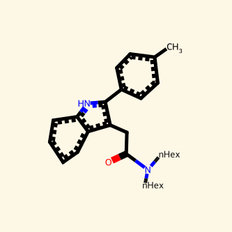 CCCCCCN(CCCCCC)C(=O)Cc1c(-c2ccc(C)cc2)[nH]c2ccccc12